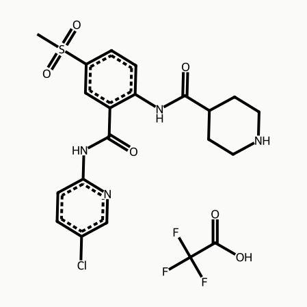 CS(=O)(=O)c1ccc(NC(=O)C2CCNCC2)c(C(=O)Nc2ccc(Cl)cn2)c1.O=C(O)C(F)(F)F